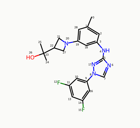 Cc1cc(Nc2ncn(-c3cc(F)cc(F)c3)n2)cc(N2CC(C(C)(C)O)C2)c1